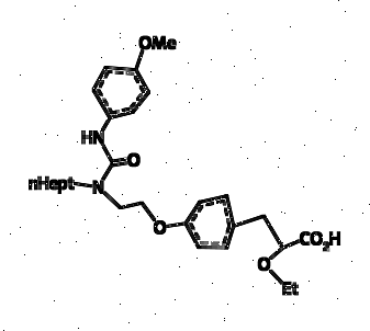 CCCCCCCN(CCOc1ccc(CC(OCC)C(=O)O)cc1)C(=O)Nc1ccc(OC)cc1